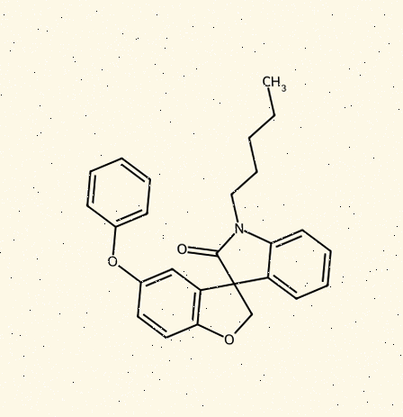 CCCCCN1C(=O)C2(COc3ccc(Oc4ccccc4)cc32)c2ccccc21